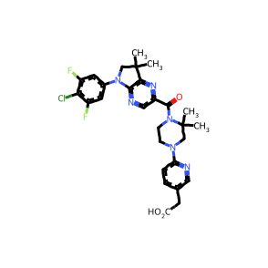 CC1(C)CN(c2cc(F)c(Cl)c(F)c2)c2ncc(C(=O)N3CCN(c4ccc(CC(=O)O)cn4)CC3(C)C)nc21